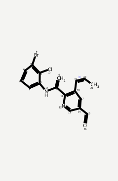 C=C(Nc1cccc(Br)c1Cl)c1ncc(C=O)cc1/C=C\C